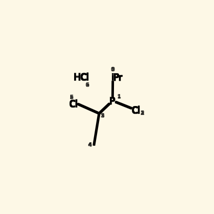 CC(C)P(Cl)C(C)Cl.Cl